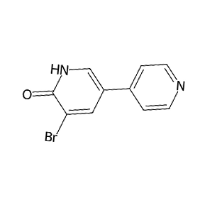 O=c1[nH]cc(-c2ccncc2)cc1Br